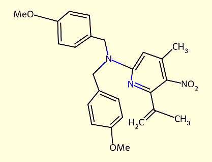 C=C(C)c1nc(N(Cc2ccc(OC)cc2)Cc2ccc(OC)cc2)cc(C)c1[N+](=O)[O-]